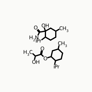 CC1CCC(C(C)C)C(O)(C(N)=O)C1.CC1CCC(C(C)C)C(OC(=O)C(C)O)C1